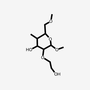 COCC1OC(OC)C(OCCO)C(O)C1C